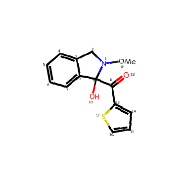 CON1Cc2ccccc2C1(O)C(=O)c1cccs1